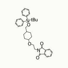 CC(C)(C)[Si](OCC1CCC(OCCN2C(=O)c3ccccc3C2=O)CC1)(c1ccccc1)c1ccccc1